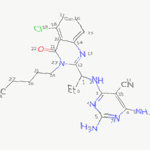 CCC(Nc1nc(N)nc(N)c1C#N)c1nc2cccc(Cl)c2c(=O)n1CCCCC#N